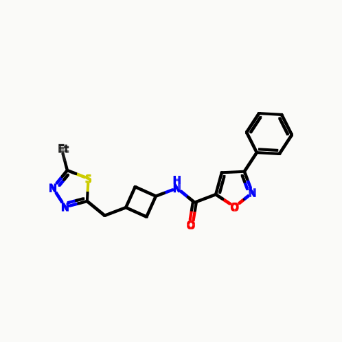 CCc1nnc(CC2CC(NC(=O)c3cc(-c4ccccc4)no3)C2)s1